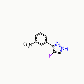 O=[N+]([O-])c1cccc(-c2n[nH]cc2I)c1